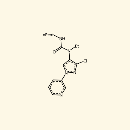 CCCCCNC(=O)N(CC)c1cn(-c2cccnc2)nc1Cl